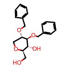 OC[C@H]1OC[C@H](OCc2ccccc2)[C@@H](OCc2ccccc2)[C@@H]1O